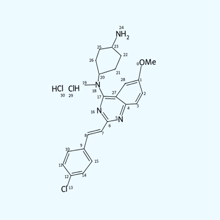 COc1ccc2nc(/C=C/c3ccc(Cl)cc3)nc(N(C)C3CCC(N)CC3)c2c1.Cl.Cl